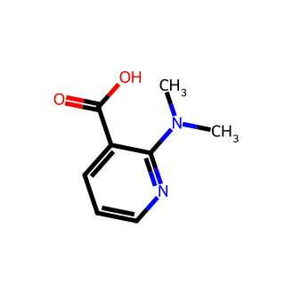 CN(C)c1ncccc1C(=O)O